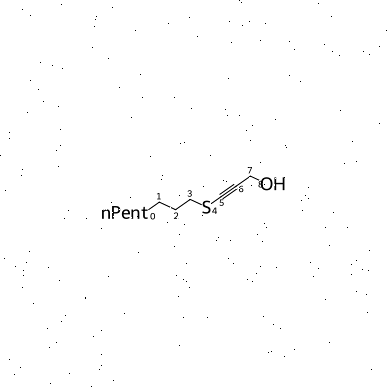 CCCCCCCCSC#CCO